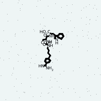 N=C(N)c1ccc(CCCCNC(=O)NC(CC(=O)O)C(=O)NC(Cc2c[nH]c3ccccc23)C(=O)O)cc1